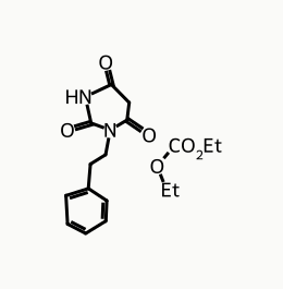 CCOC(=O)OCC.O=C1CC(=O)N(CCc2ccccc2)C(=O)N1